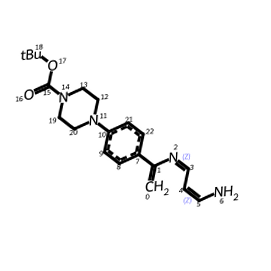 C=C(/N=C\C=C/N)c1ccc(N2CCN(C(=O)OC(C)(C)C)CC2)cc1